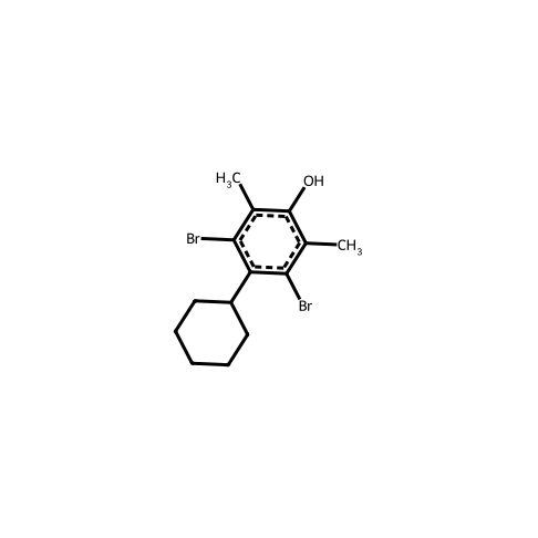 Cc1c(O)c(C)c(Br)c(C2CCCCC2)c1Br